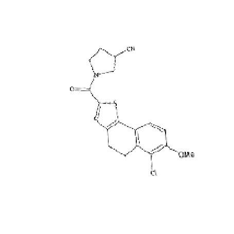 COc1ccc2c(c1Cl)CCc1cc(C(=O)N3CCC(C#N)C3)sc1-2